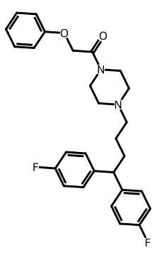 O=C(COc1ccccc1)N1CCN(CCCC(c2ccc(F)cc2)c2ccc(F)cc2)CC1